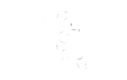 CC(C)CCC1(c2ccccc2)NC(=N)N([C@H](C)c2cccc(C(=O)N3Cc4cncnc4C3)c2)C1=O